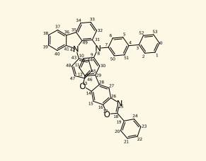 c1ccc(-c2ccc(N(c3ccc4oc5cc6oc(-c7ccccc7)nc6cc5c4c3)c3cccc4c5ccccc5n(-c5ccccc5)c34)cc2)cc1